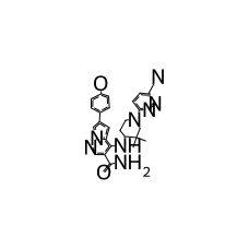 COc1ccc(-c2cc3c(NC4CCN(c5ccc(C#N)nn5)CC4(C)C)c(C(N)=O)cnn3c2)cc1